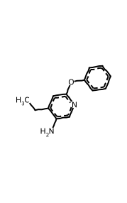 CCc1cc(Oc2ccccc2)ncc1N